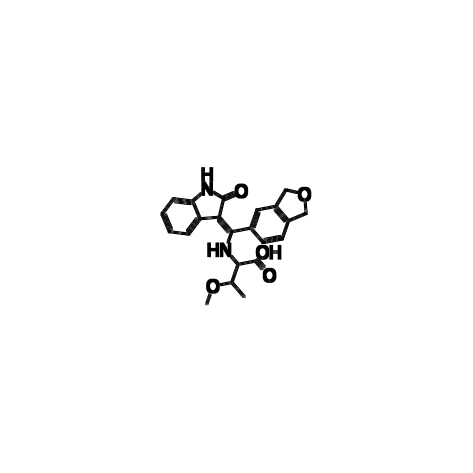 COC(C)C(NC(=C1C(=O)Nc2ccccc21)c1ccc2c(c1)COC2)C(=O)O